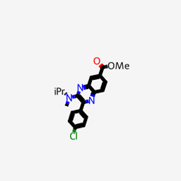 COC(=O)c1ccc2nc(-c3ccc(Cl)cc3)c(N(C)C(C)C)nc2c1